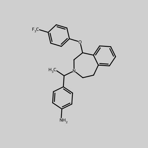 CC(c1ccc(N)cc1)N1CCc2ccccc2C(Oc2ccc(C(F)(F)F)cc2)C1